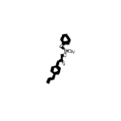 C=CCc1ccc(CC(=O)COB(O)Oc2ccccc2)cc1